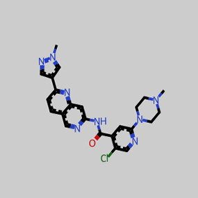 CN1CCN(c2cc(C(=O)Nc3cc4nc(-c5cnn(C)c5)ccc4cn3)c(Cl)cn2)CC1